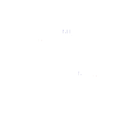 NC(=O)c1cc2ccccc2[n+]([O-])c1